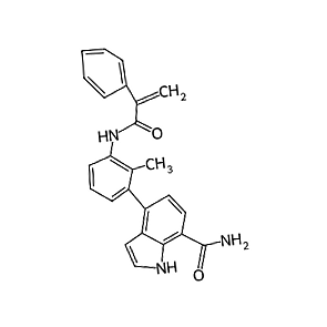 C=C(C(=O)Nc1cccc(-c2ccc(C(N)=O)c3[nH]ccc23)c1C)c1ccccc1